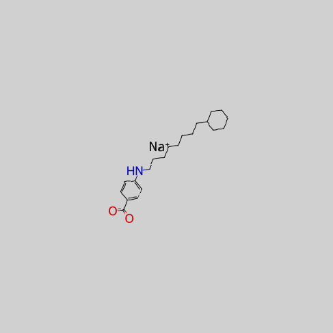 O=C([O-])c1ccc(NCCCCCCCCC2CCCCC2)cc1.[Na+]